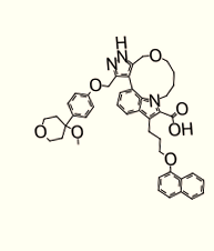 COC1(c2ccc(OCc3n[nH]c4c3-c3cccc5c(CCCOc6cccc7ccccc67)c(C(=O)O)n(c35)CCCCOC4)cc2)CCOCC1